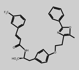 Cc1oc(-c2ccccc2)nc1CCOc1ccc(C[C@H](NC(=O)C=Cc2cccc(C(F)(F)F)c2)C(=O)O)cc1